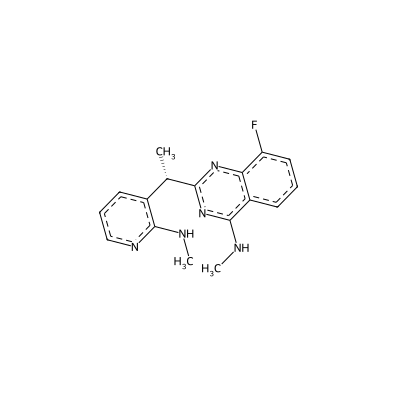 CNc1ncccc1[C@H](C)c1nc(NC)c2cccc(F)c2n1